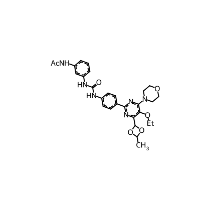 CCOc1c(C2OC(C)O2)nc(-c2ccc(NC(=O)Nc3cccc(NC(C)=O)c3)cc2)nc1N1CCOCC1